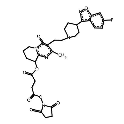 Cc1nc2n(c(=O)c1CCN1CCC(c3noc4cc(F)ccc34)CC1)CCCC2OC(=O)CCC(=O)ON1C(=O)CCC1=O